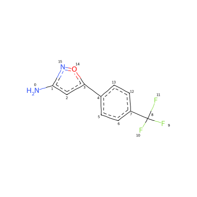 Nc1cc(-c2ccc(C(F)(F)F)cc2)on1